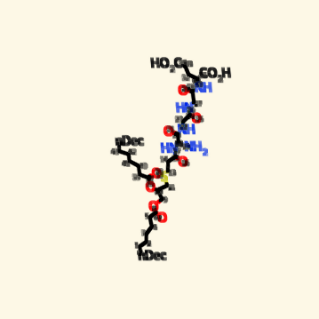 CCCCCCCCCCCCCCCC(=O)OC[C@H](CSCCC(=O)N[C@@H](N)C(=O)NCC(=O)NCC(=O)N[C@H](CCC(=O)O)C(=O)O)OC(=O)CCCCCCCCCCCCCCC